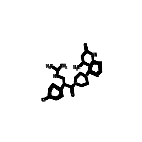 CC(C)NCC(C(=O)N1CCN(c2ncnc3c2C(C)CC(=O)N3)CC1)c1ccc(Cl)cc1